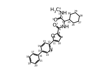 CNC(=O)C(NC(=O)c1ccc(-c2ccc(-c3ccccc3)cn2)o1)C1CCCCC1